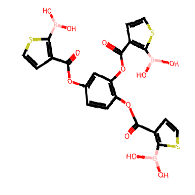 O=C(Oc1ccc(OC(=O)c2ccsc2B(O)O)c(OC(=O)c2ccsc2B(O)O)c1)c1ccsc1B(O)O